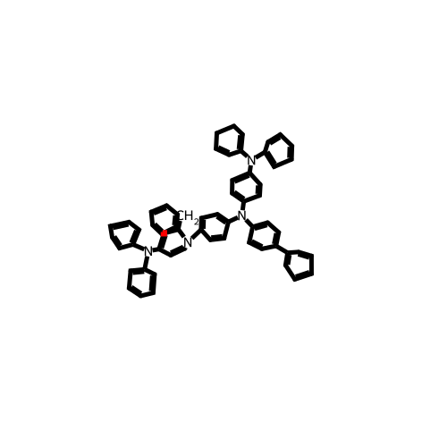 C=C/C=C(\C=C/N(c1ccccc1)c1ccc(N(c2ccc(-c3ccccc3)cc2)c2ccc(N(C3=CCCC=C3)c3ccccc3)cc2)cc1)N(c1ccccc1)c1ccccc1